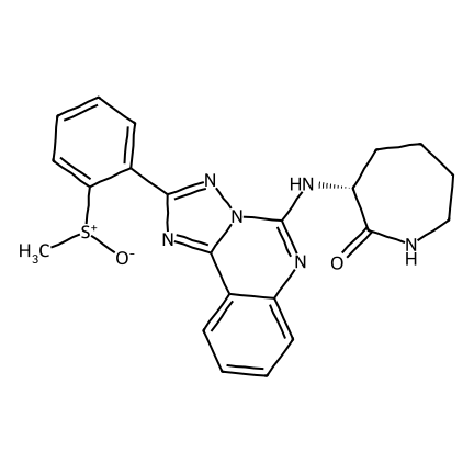 C[S+]([O-])c1ccccc1-c1nc2c3ccccc3nc(N[C@@H]3CCCCNC3=O)n2n1